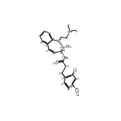 CN(C)CCN1c2ccccc2C=CC(NC(=O)CCc2ccc(Cl)cc2Cl)[NH+]1[O-]